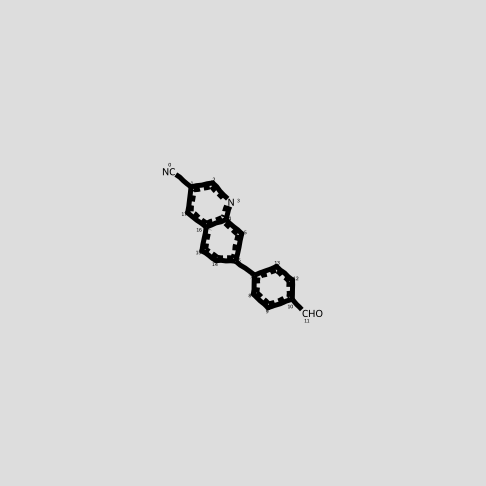 N#Cc1cnc2cc(-c3ccc(C=O)cc3)ccc2c1